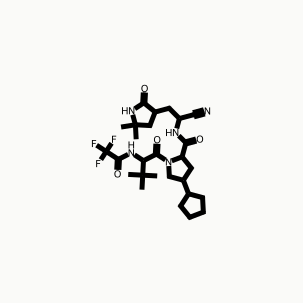 CC1(C)CC(CC(C#N)NC(=O)C2CC(C3CCCC3)CN2C(=O)C(NC(=O)C(F)(F)F)C(C)(C)C)C(=O)N1